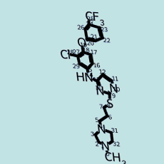 CN1CCN(CCCSc2nccc(Nc3ccc(Oc4cccc(C(F)(F)F)c4)c(Cl)c3)n2)CC1